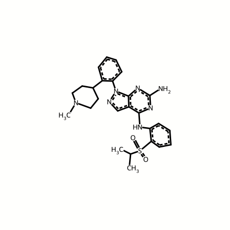 CC(C)S(=O)(=O)c1ccccc1Nc1nc(N)nc2c1cnn2-c1ccccc1C1CCN(C)CC1